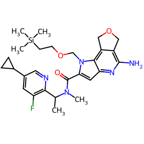 CC(c1ncc(C2CC2)cc1F)N(C)C(=O)c1cc2nc(N)c3c(c2n1COCC[Si](C)(C)C)COC3